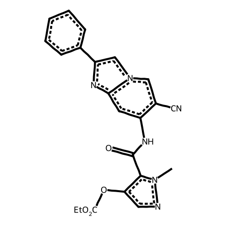 CCOC(=O)Oc1cnn(C)c1C(=O)Nc1cc2nc(-c3ccccc3)cn2cc1C#N